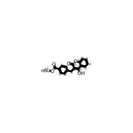 CCCCOC(=O)c1ccc(Cc2c(O)c3ccccc3oc2=O)cc1